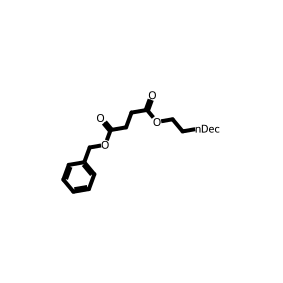 CCCCCCCCCCCCOC(=O)CCC(=O)OCc1ccccc1